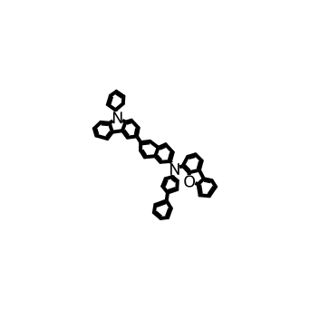 C1=CCC(n2c3ccccc3c3cc(-c4ccc5cc(N(c6ccc(-c7ccccc7)cc6)c6cccc7c6oc6ccccc67)ccc5c4)ccc32)C=C1